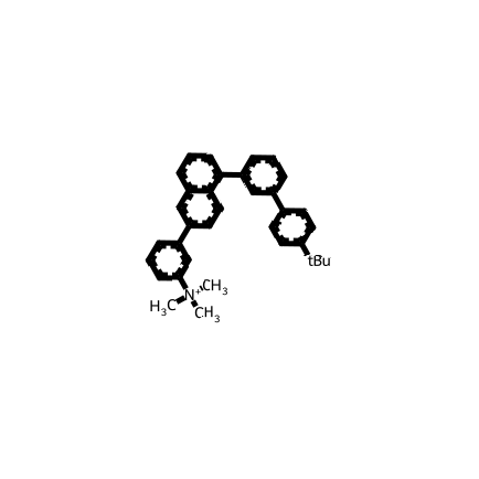 CC(C)(C)c1ccc(-c2cccc(-c3cccc4cc(-c5cccc([N+](C)(C)C)c5)ccc34)c2)cc1